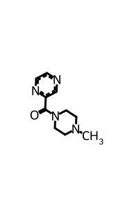 CN1CCN(C(=O)c2cnccn2)CC1